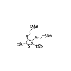 CSCCSc1c(C(C)(C)C)sc(C(C)(C)C)c1SCCSC